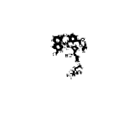 C[C@H](C/C=C/[C@H](O)[C@@H]1CC[C@H]1CN1C[C@@]2(CCCc3cc(Cl)ccc32)COc2ccc(C(=O)OC(C)(C)C)cc21)CS(N)(=O)=O